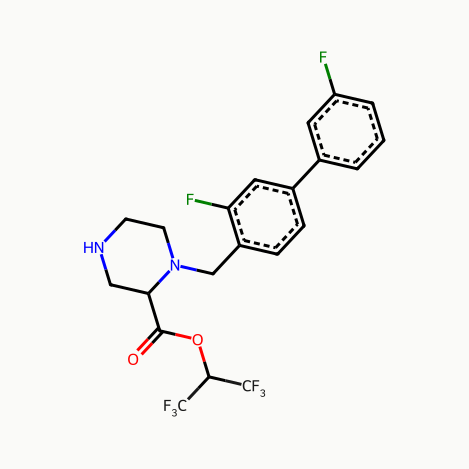 O=C(OC(C(F)(F)F)C(F)(F)F)C1CNCCN1Cc1ccc(-c2cccc(F)c2)cc1F